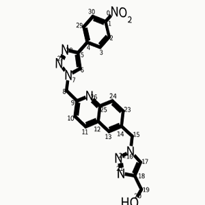 O=[N+]([O-])c1ccc(-c2cn(Cc3ccc4cc(Cn5cc(CO)nn5)ccc4n3)nn2)cc1